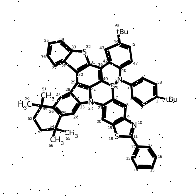 CC(C)(C)c1ccc(N2B3c4cc5nc(-c6ccccc6)sc5cc4-n4c5cc6c(cc5c5c7c(sc8ccccc87)c(c3c54)-c3cc(C(C)(C)C)ccc32)C(C)(C)CCC6(C)C)cc1